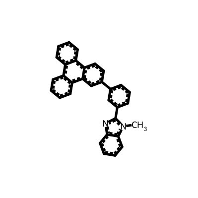 Cn1c(-c2cccc(-c3ccc4c5ccccc5c5ccccc5c4c3)c2)nc2ccccc21